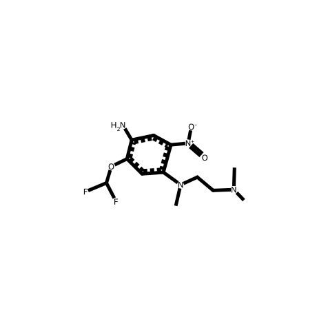 CN(C)CCN(C)c1cc(OC(F)F)c(N)cc1[N+](=O)[O-]